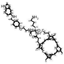 CC1=Cc2cc3[nH]c(cc4nc(cc5[nH]c(cc1n2)cc5C)C(C)=C4CCC(=O)N[C@@H](CCCCN)C(=O)NCCOc1ccc(CNc2cnc4[nH]cnc4c2)cc1)c(CCC(=O)O)c3C